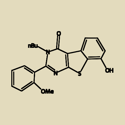 CCCCn1c(-c2ccccc2OC)nc2sc3c(O)cccc3c2c1=O